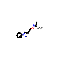 C/C(=N/OCCCN(C)c1ccccc1)C(=O)O